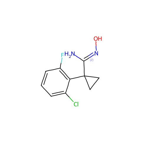 N/C(=N\O)C1(c2c(F)cccc2Cl)CC1